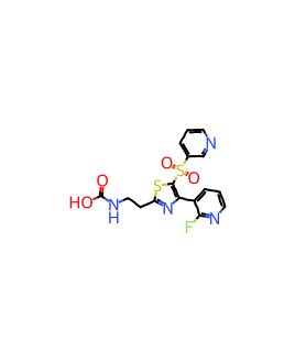 O=C(O)NCCc1nc(-c2cccnc2F)c(S(=O)(=O)c2cccnc2)s1